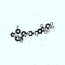 CN(Cc1cc2c(cc1F)C(=O)N(C1CCC(=O)NC1=O)C2=O)C1CCN(c2cccc(-c3cnc4ccc(N5CCC[C@@H]5c5cccc(F)c5)nn34)n2)CC1